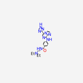 CCN(CC)CCNC(=O)c1ccc(Nc2ncc(-c3nc[nH]n3)n3ccnc23)cc1